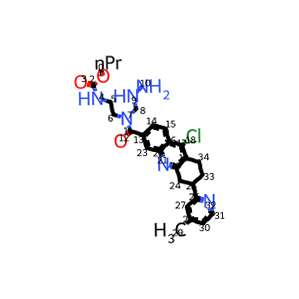 CCCOC(=O)NCCN(CNN)C(=O)c1ccc2c(Cl)c3c(nc2c1)CC(c1cc(C)ccn1)CC3